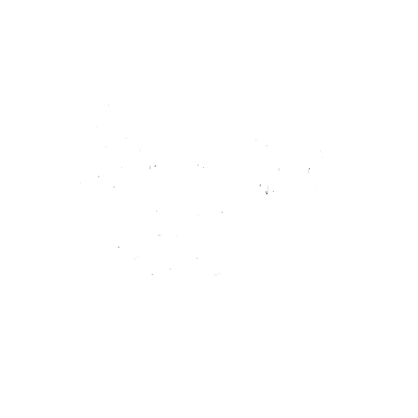 CN(C(=O)OC(C)(C)C)c1ccc(C2=CC3(C)C(CCC34OCCO4)C3CC=C4CC5(CCC4(C)C23)OCCO5)cc1